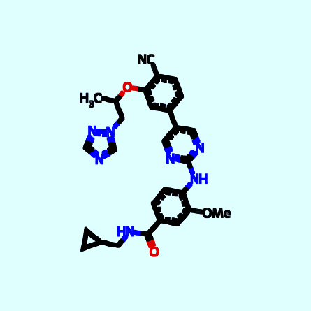 COc1cc(C(=O)NCC2CC2)ccc1Nc1ncc(-c2ccc(C#N)c(OC(C)Cn3cncn3)c2)cn1